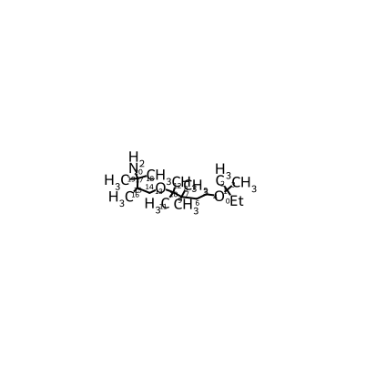 CCC(C)(C)OCCC(C)(C)C(C)(C)OCC(C)C(C)(C)N